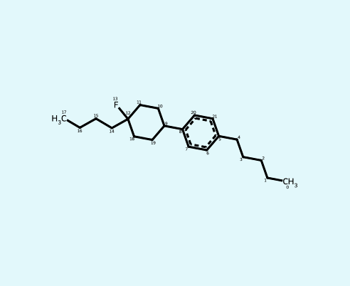 CCCCCc1ccc(C2CCC(F)(CCCC)CC2)cc1